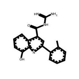 Cc1ccccc1-c1cc(C(=O)NC(=N)N)c2cccc(O)c2n1